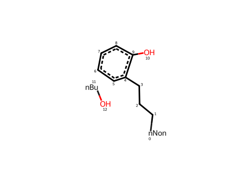 CCCCCCCCCCCCc1ccccc1O.CCCCO